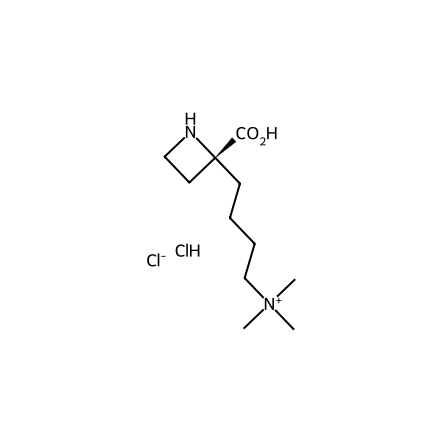 C[N+](C)(C)CCCC[C@]1(C(=O)O)CCN1.Cl.[Cl-]